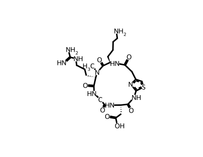 CN1C(=O)[C@@H](CCCCN)NC(=O)Cc2csc(n2)NC(=O)[C@H](CC(=O)O)NC(=O)CNC(=O)[C@@H]1CCCNC(=N)N